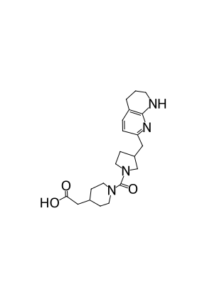 O=C(O)CC1CCN(C(=O)N2CCC(Cc3ccc4c(n3)NCCC4)C2)CC1